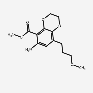 COCCCc1cc(N)c(C(=O)OC)c2c1OCCO2